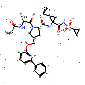 C=CC1C[C@]1(NC(=O)[C@@H]1C[C@@H](COc2cccc(-c3ccccc3)n2)CN1C(=O)[C@@H](NC(=O)OC)C(C)(C)C)C(=O)NS(=O)(=O)C1CC1